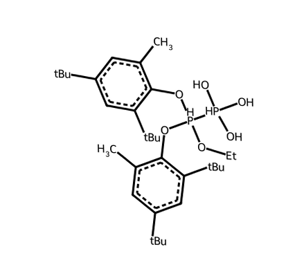 CCO[PH](Oc1c(C)cc(C(C)(C)C)cc1C(C)(C)C)(Oc1c(C)cc(C(C)(C)C)cc1C(C)(C)C)[PH](O)(O)O